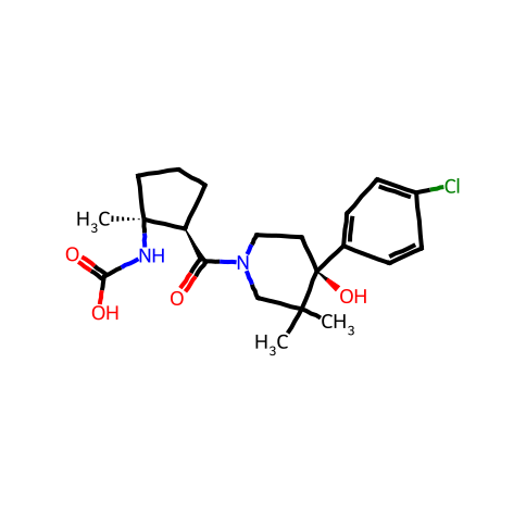 CC1(C)CN(C(=O)[C@@H]2CCC[C@]2(C)NC(=O)O)CC[C@]1(O)c1ccc(Cl)cc1